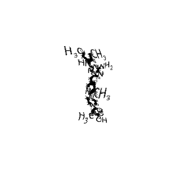 CCCC(CCC)Nc1nc(N)c2ncc(Cc3cnc(N4CCN(C(=O)CN(C)C(=O)O)CC4)c(C)c3)n2n1